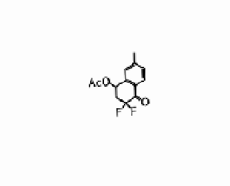 CC(=O)OC1CC(F)(F)C(=O)c2ccc(C)cc21